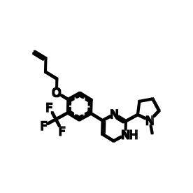 C=CCCOc1ccc(C2=CCNC(C3CCCN3C)=N2)cc1C(F)(F)F